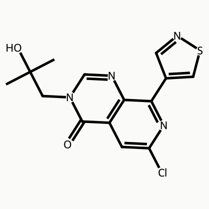 CC(C)(O)Cn1cnc2c(-c3cnsc3)nc(Cl)cc2c1=O